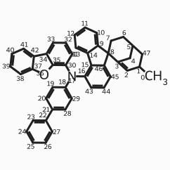 CC1C=C2CC(CCC23c2ccccc2-c2c(N(c4ccc(-c5ccccc5)cc4)c4cccc5c4oc4ccccc45)cccc23)C1